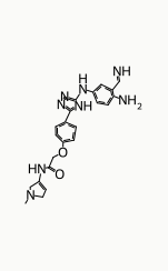 CN1CC=C(NC(=O)COc2ccc(-c3nnc(Nc4ccc(N)c(C=N)c4)[nH]3)cc2)C1